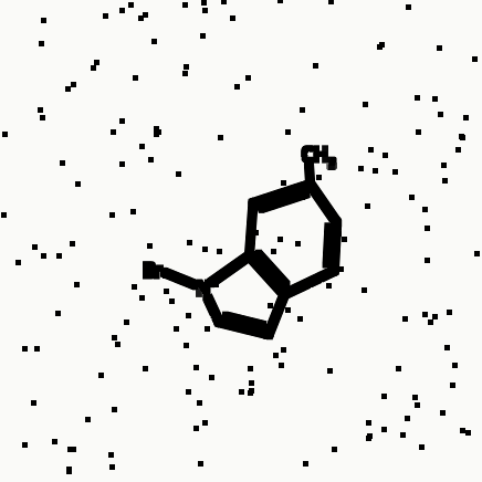 Cc1ccc2ccn(Br)c2c1